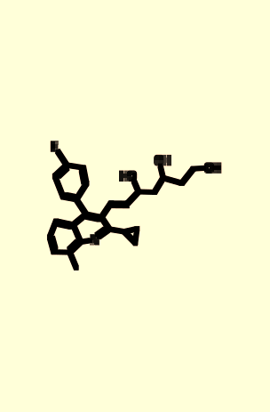 Cc1cccc2c(-c3ccc(F)cc3)c(C=CC(O)CC(O)CCO)c(C3CC3)nc12